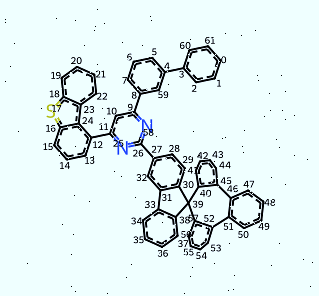 c1ccc(-c2cccc(-c3cc(-c4cccc5sc6ccccc6c45)nc(-c4ccc5c(c4)-c4ccccc4C54c5ccccc5-c5ccccc5-c5ccccc54)n3)c2)cc1